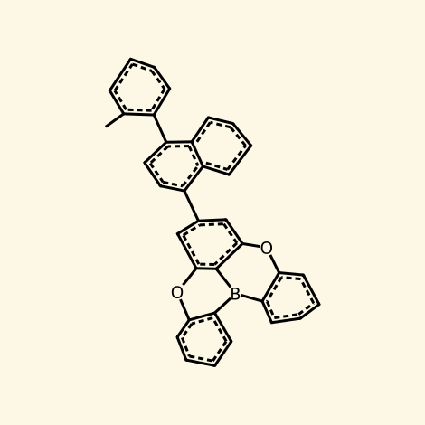 Cc1ccccc1-c1ccc(-c2cc3c4c(c2)Oc2ccccc2B4c2ccccc2O3)c2ccccc12